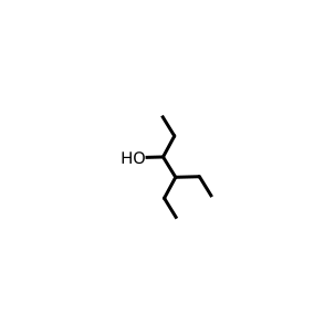 CCC(O)C(CC)CC